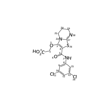 O=C(O)COC1=C(C(=O)Nc2cc(Cl)cc(Cl)c2)SC2=NCCCN21